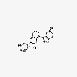 CN/C=C(\C=N)c1cc2c(cc1Cl)N(c1n[nH]c3c1CN(C(C)=O)CC3)CCC2